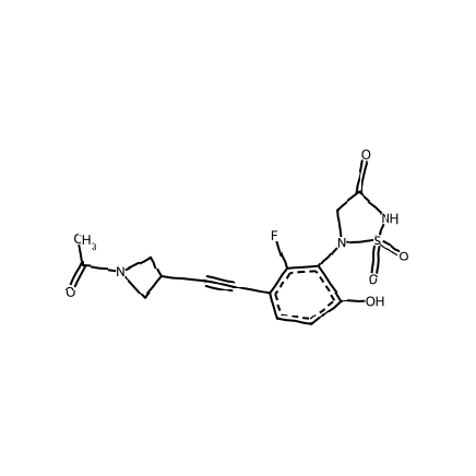 CC(=O)N1CC(C#Cc2ccc(O)c(N3CC(=O)NS3(=O)=O)c2F)C1